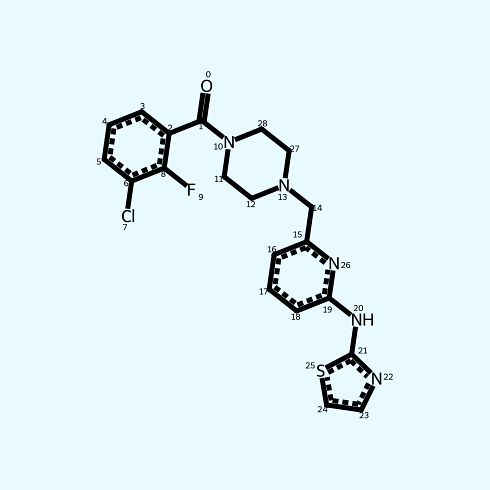 O=C(c1cccc(Cl)c1F)N1CCN(Cc2cccc(Nc3nccs3)n2)CC1